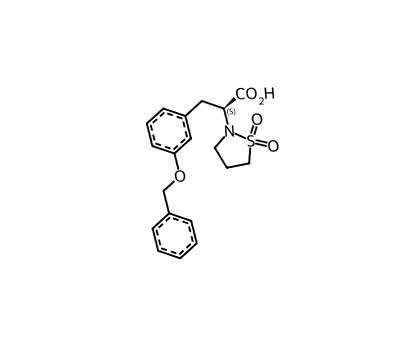 O=C(O)[C@H](Cc1cccc(OCc2ccccc2)c1)N1CCCS1(=O)=O